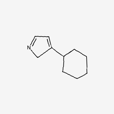 C1=NCC(C2CCCCC2)=C1